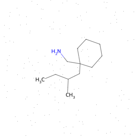 CCC(C)CC1(CN)CCCCC1